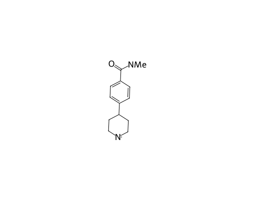 CNC(=O)c1ccc(C2CC[N]CC2)cc1